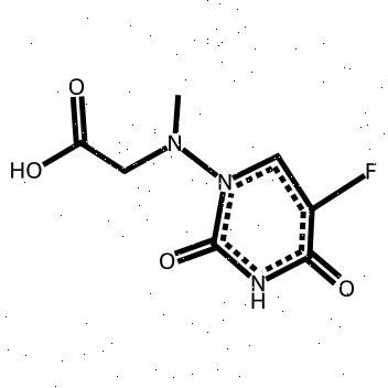 CN(CC(=O)O)n1cc(F)c(=O)[nH]c1=O